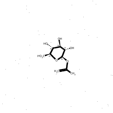 C=C(C)O[C@H]1O[C@@H](C(=O)O)[C@H](O)[C@@H](O)[C@@H]1O